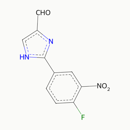 O=Cc1c[nH]c(-c2ccc(F)c([N+](=O)[O-])c2)n1